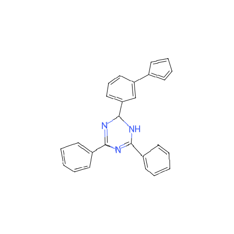 C1=CC=CC=1c1cccc(C2N=C(c3ccccc3)N=C(c3ccccc3)N2)c1